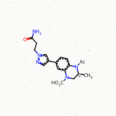 CC(=O)N1c2ccc(-c3cnn(CCC(N)=O)c3)cc2N(C(=O)O)C[C@@H]1C